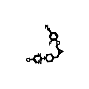 N#Cc1ccc(OCC2CC2CC2CCN(c3ncc(Cl)cn3)CC2)c(F)c1